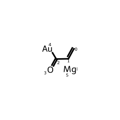 C=C[C](=O)[Au].[Mg]